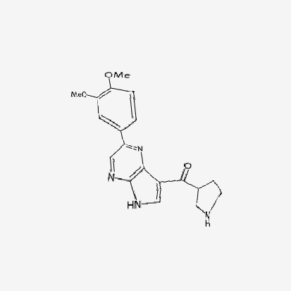 COc1ccc(-c2cnc3[nH]cc(C(=O)C4CCNC4)c3n2)cc1OC